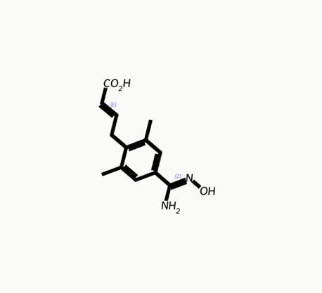 Cc1cc(/C(N)=N/O)cc(C)c1C/C=C/C(=O)O